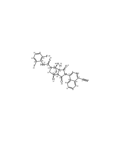 N#Cc1ncc(N2C(=O)[C@@H]3[C@@H]4C[C@@H](CN4C(=S)Nc4c(F)cccc4F)N3C2=O)c2ccccc12